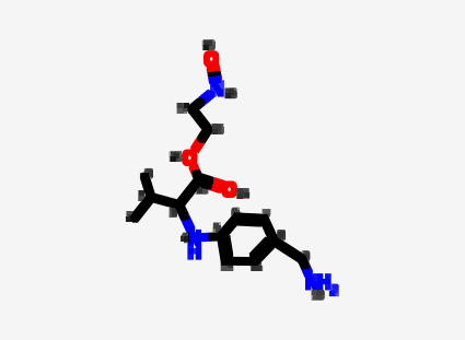 CC(C)C(Nc1ccc(CN)cc1)C(=O)OCCN=O